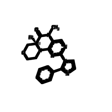 CC[C@@]12COCCN1c1nc(-n3ccnc3-c3ccccc3)ncc1N(C)C2=O